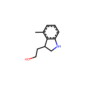 Cc1cccc2c1C(CCO)CN2